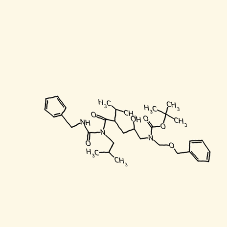 CC(C)CN(C(=O)NCc1ccccc1)C(=O)C(CC(O)CN(COCc1ccccc1)C(=O)OC(C)(C)C)C(C)C